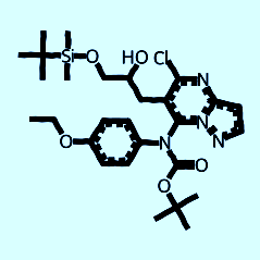 CCOc1ccc(N(C(=O)OC(C)(C)C)c2c(CC(O)CO[Si](C)(C)C(C)(C)C)c(Cl)nc3ccnn23)cc1